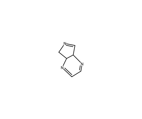 C1=NCC2N=CC=NC12